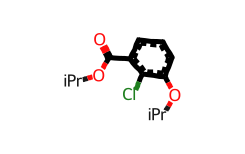 CC(C)OC(=O)c1cccc(OC(C)C)c1Cl